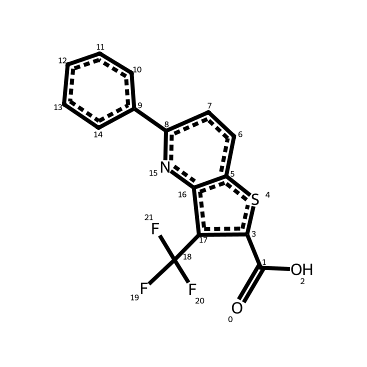 O=C(O)c1sc2ccc(-c3ccccc3)nc2c1C(F)(F)F